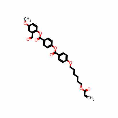 C=CC(=O)OCCCCCCOc1ccc(C(=O)Oc2ccc(C(=O)Oc3ccc(OC)cc3C=O)cc2)cc1